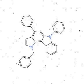 c1ccc(Cn2ccc3c(-c4ccccc4)cc4c(c5ccccc5n4-c4ccccc4)c32)cc1